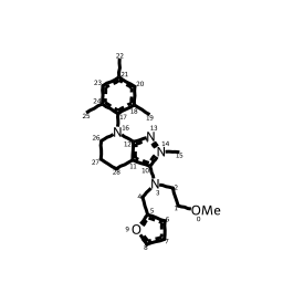 COCCN(Cc1ccco1)c1c2c(nn1C)N(c1c(C)cc(C)cc1C)CCC2